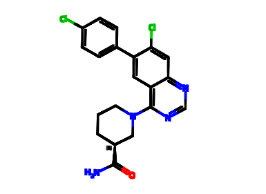 NC(=O)[C@H]1CCCN(c2ncnc3cc(Cl)c(-c4ccc(Cl)cc4)cc23)C1